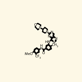 COc1ccc(NC(=O)c2ccc(C)c(Nc3ncnc4cnc(N5CCC(N6CCOCC6)CC5)nc34)c2)cc1C(F)(F)F